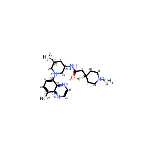 C[C@H]1C[C@@H](NC(=O)CC2(F)CCN(C)CC2)CN(c2ccc(C#N)c3nccnc23)C1